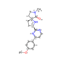 CC(C)Oc1ccc(-c2ccnc([C@H]3CC[C@]4(CCN(C)C4=O)N3)n2)cc1